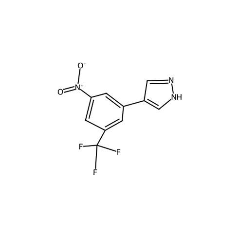 O=[N+]([O-])c1cc(-c2cn[nH]c2)cc(C(F)(F)F)c1